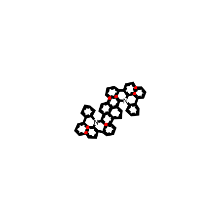 c1ccc(-c2ccccc2N(c2ccccc2-c2ccccc2)c2ccc3ccc4c(N(c5ccccc5-c5ccccc5)c5ccccc5-c5ccccc5)ccc5ccc2c3c54)cc1